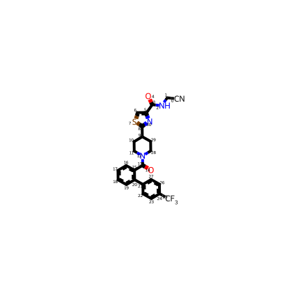 N#CCNC(=O)c1csc(C2CCN(C(=O)c3ccccc3-c3ccc(C(F)(F)F)cc3)CC2)n1